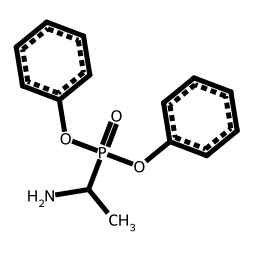 CC(N)P(=O)(Oc1ccccc1)Oc1ccccc1